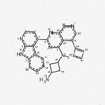 CN(c1nc(-c2ccnc3[nH]c4ccccc4c23)nc2cncc(C3=CC=C3)c12)C1CC(N)C1